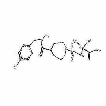 CN(Cc1ccc(Cl)cc1)C(=O)N1CCN(S(=O)(=O)N[C@](C)(O)C(N)=O)CC1